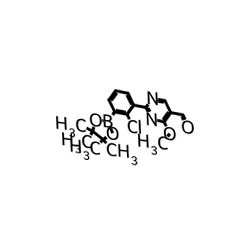 COc1nc(-c2cccc(B3OC(C)(C)C(C)(C)O3)c2Cl)ncc1C=O